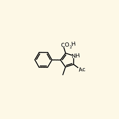 CC(=O)c1[nH]c(C(=O)O)c(-c2ccccc2)c1C